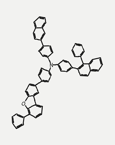 c1ccc(-c2c(-c3ccc(N(c4ccc(-c5ccc6ccccc6c5)cc4)c4ccc(-c5ccc6oc7c(-c8ccccc8)cccc7c6c5)cc4)cc3)ccc3ccccc23)cc1